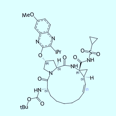 COc1ccc2nc(C(C)C)c(O[C@@H]3C[C@H]4C(=O)N[C@]5(C(=O)NS(=O)(=O)C6CC6)C[C@H]5/C=C\CCCCC[C@H](NC(=O)OC(C)(C)C)C(=O)N4C3)nc2c1